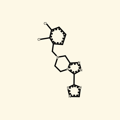 Clc1cccc(CN2CCn3c(nnc3-c3ncns3)C2)c1Cl